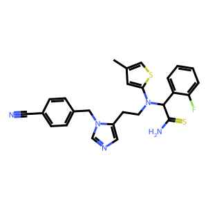 Cc1csc(N(CCc2cncn2Cc2ccc(C#N)cc2)C(C(N)=S)c2ccccc2F)c1